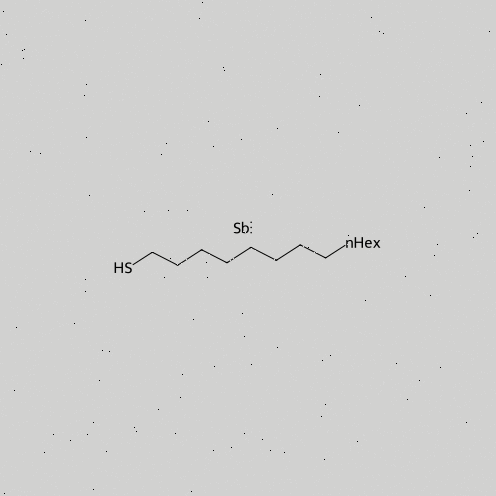 CCCCCCCCCCCCCCS.[Sb]